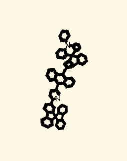 c1ccc(N2c3ccccc3C3(c4ccccc4-c4cc(-c5c6ccccc6c(-c6ccc(-c7ccc8c(c7)C7(c9ccccc9-c9ccccc97)c7ccccc7-8)nc6)c6ccccc56)ccc43)c3ccccc32)cc1